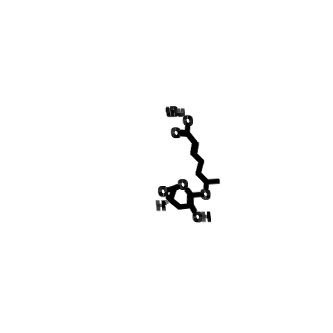 CC(CC/C=C/C(=O)OC(C)(C)C)OC1=C(O)C[C@H]2OC2O1